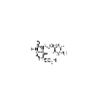 O=C(O)c1ccc2[nH]c(=O)n(CCOc3ccc(Cl)cc3)c2c1